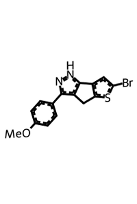 COc1ccc(-c2n[nH]c3c2Cc2sc(Br)cc2-3)cc1